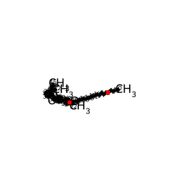 CCCCCCCCCCCCCCCCCCCCOC(C)c1ccc(-c2ccc(C(=O)Oc3ccccc3C(CC)CCC)cc2)cc1